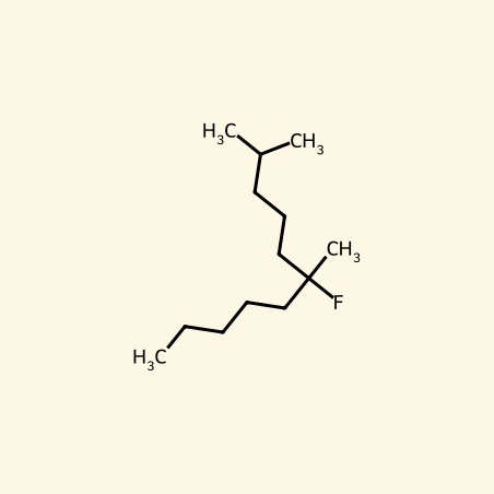 CCCCCC(C)(F)CCCC(C)C